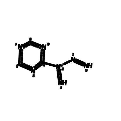 N=N[N+](=N)c1n[c]ncn1